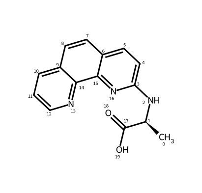 C[C@H](Nc1ccc2ccc3cccnc3c2n1)C(=O)O